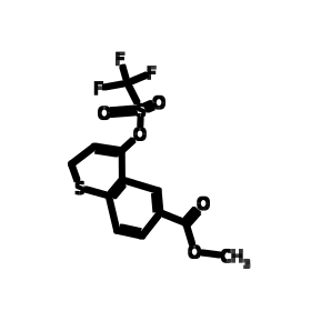 COC(=O)c1ccc2c(c1)C(OS(=O)(=O)C(F)(F)F)=CCS2